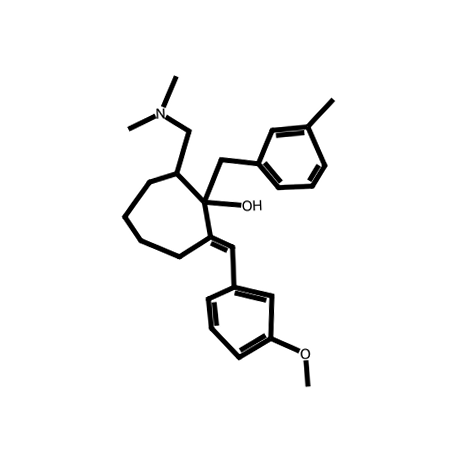 COc1cccc(/C=C2\CCCCC(CN(C)C)C2(O)Cc2cccc(C)c2)c1